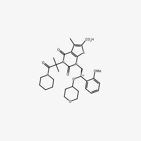 COc1ccccc1[C@H](Cn1c(=O)n(C(C)(C)C(=O)N2CCCCC2)c(=O)c2c(C)c(C(=O)O)sc21)OC1CCOCC1